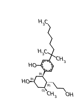 CCCCCCC(C)(C)c1ccc([C@@H]2C[C@H](O)C[C@H](C)[C@H]2CCCO)c(O)c1